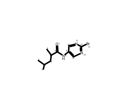 CC(C)CC(C)C(=O)Nc1cnc(Br)nc1